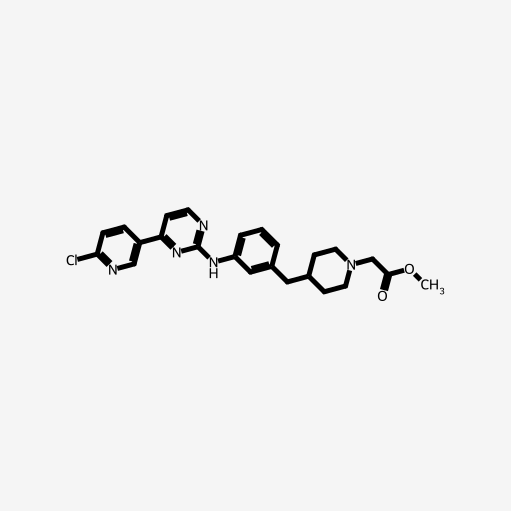 COC(=O)CN1CCC(Cc2cccc(Nc3nccc(-c4ccc(Cl)nc4)n3)c2)CC1